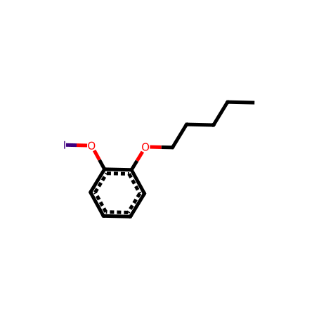 CCCCCOc1ccccc1OI